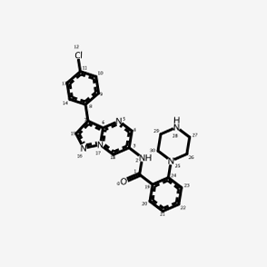 O=C(Nc1cnc2c(-c3ccc(Cl)cc3)cnn2c1)c1ccccc1N1CCNCC1